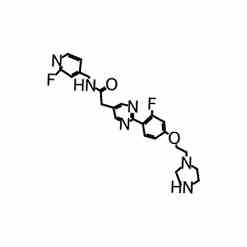 O=C(Cc1cnc(-c2ccc(OCCN3CCNCC3)cc2F)nc1)NCc1ccnc(F)c1